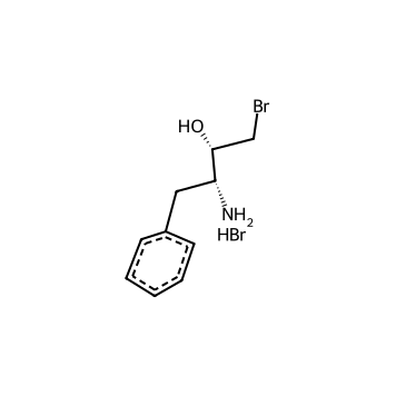 Br.N[C@H](Cc1ccccc1)[C@H](O)CBr